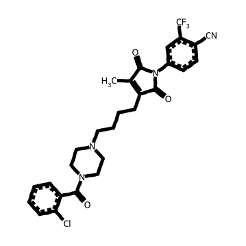 CC1=C(CCCCN2CCN(C(=O)c3ccccc3Cl)CC2)C(=O)N(c2ccc(C#N)c(C(F)(F)F)c2)C1=O